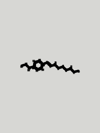 CCOCCCOC=Cc1ccc(OCC)cc1